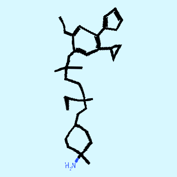 CCc1cc(C2=CC=CC2)c(C2CC2)cc1CC(C)(C)CCC(C)(CC)CCC1CCC(C)(N)CC1